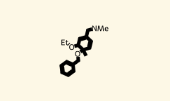 CCOC1C=C(CNC)C=CC1(C)OCc1ccccc1